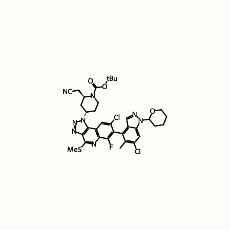 CSc1nc2c(F)c(-c3c(C)c(Cl)cc4c3cnn4C3CCCCO3)c(Cl)cc2c2c1nnn2[C@H]1CCN(C(=O)OC(C)(C)C)[C@H](CC#N)C1